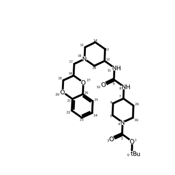 CC(C)(C)OC(=O)N1CCC(NC(=O)NC2CCCN(CC3COc4ccccc4O3)C2)CC1